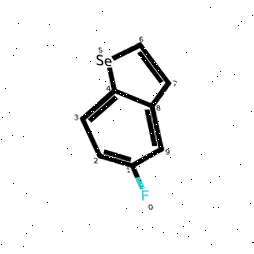 Fc1ccc2[se]ccc2c1